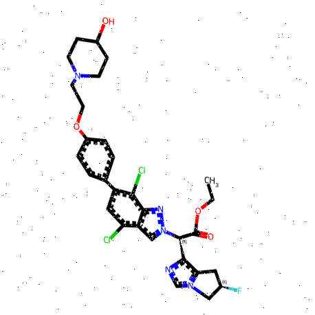 CCOC(=O)[C@@H](c1ncn2c1C[C@@H](F)C2)n1cc2c(Cl)cc(-c3ccc(OCCN4CCC(O)CC4)cc3)c(Cl)c2n1